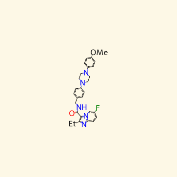 CCc1nc2ccc(F)cn2c1C(=O)NCc1ccc(N2CCN(c3ccc(OC)cc3)CC2)cc1